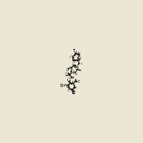 CC(=O)c1cc(Br)cc(Br)c1OCC(=O)N1CC(C)N(Cc2ccc(F)cc2)CC1C